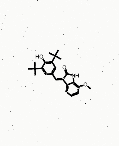 COc1cccc2c1NC(=O)C2=Cc1cc(C(C)(C)C)c(O)c(C(C)(C)C)c1